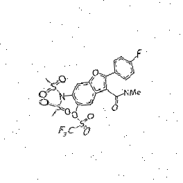 CNC(=O)c1c(-c2ccc(F)cc2)oc2cc(N(S(C)(=O)=O)S(C)(=O)=O)c(OS(=O)(=O)C(F)(F)F)cc12